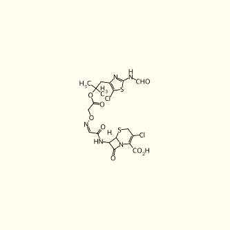 CC(C)(Cc1nc(NC=O)sc1Cl)OC(=O)CO/N=C\C(=O)NC1C(=O)N2C(C(=O)O)=C(Cl)CS[C@H]12